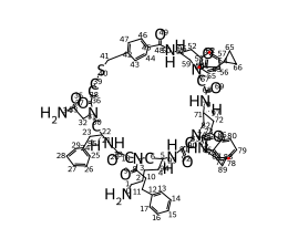 NCCCC[C@H]1CN(C(=O)CCc2ccccc2)CC(=O)N[C@@H](Cc2ccccc2)CN(CC(N)=O)C(=O)CCSCc2ccc(cc2)C(=O)N[C@@H](Cc2ccccc2)CN(C(=O)CC2CC2)CC(=O)N[C@@H](Cc2c[nH]c3ccccc23)CN(C(=O)CC2CC2)CC(=O)N1